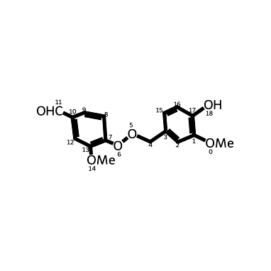 COc1cc(COOc2ccc(C=O)cc2OC)ccc1O